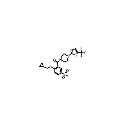 CS(=O)(=O)c1ccc(OCC2CC2)c(C(=O)N2CCN(c3ncc(C(F)(F)F)s3)CC2)c1